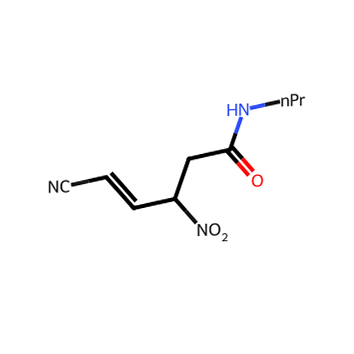 CCCNC(=O)CC(/C=C/C#N)[N+](=O)[O-]